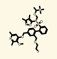 COc1c(OCc2ccc(-c3ccccc3S(=O)(=O)N(COC(C)[Si](C)(C)C)c3onc(C)c3C)c(COCCF)c2)cc(C)nc1C